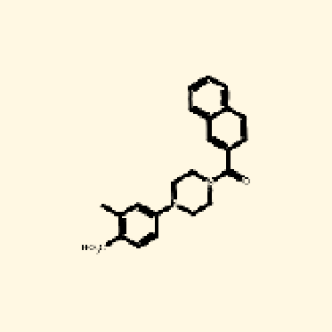 Cc1cc(N2CCN(C(=O)c3ccc4ccccc4c3)CC2)ccc1C(=O)O